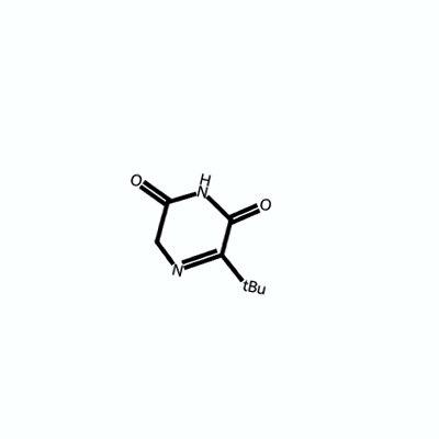 CC(C)(C)C1=NCC(=O)NC1=O